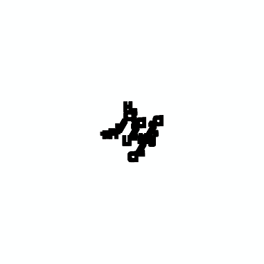 C[CH]CC.[Cl][Mg][Cl].[Li][Cl]